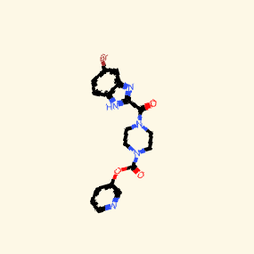 O=C(Oc1cccnc1)N1CCN(C(=O)c2nc3cc(Br)ccc3[nH]2)CC1